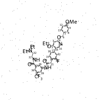 CCOc1cc(OCc2ccc(OC)cc2)ncc1-c1ccc(CC(=O)Nc2cc(C(=O)NCCN(CC)CC)cc(C(F)(F)F)c2)c(F)c1